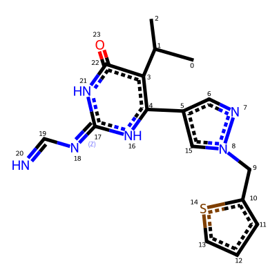 CC(C)c1c(-c2cnn(Cc3cccs3)c2)[nH]/c(=N/C=N)[nH]c1=O